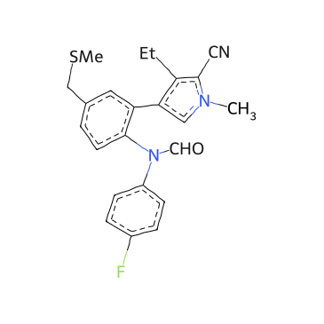 CCc1c(-c2cc(CSC)ccc2N(C=O)c2ccc(F)cc2)cn(C)c1C#N